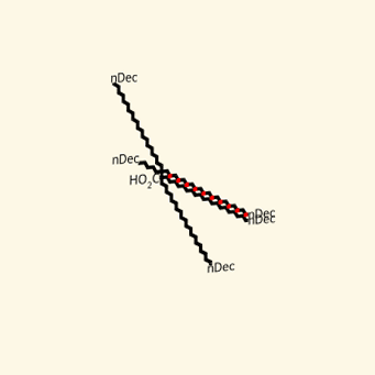 CCCCCCCCCCCCCCCCCCCCCCCCCCCCCCC(CCCCCCCCCCCCCCC)(CCCCCCCCCCCCCCCCCCCCCCCCCCCCCC)C(CCCCCCCCCCCCCCCCCCCCCCCCCCCCCC)(CCCCCCCCCCCCCCCCCCCCCCCCCCCCCC)C(=O)O